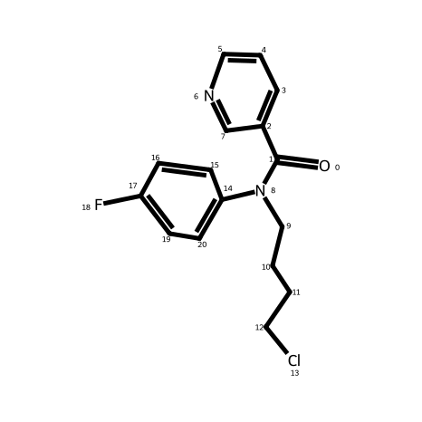 O=C(c1cccnc1)N(CCCCCl)c1ccc(F)cc1